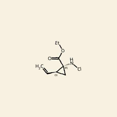 C=C[C@@H]1C[C@]1(NCl)C(=O)OCC